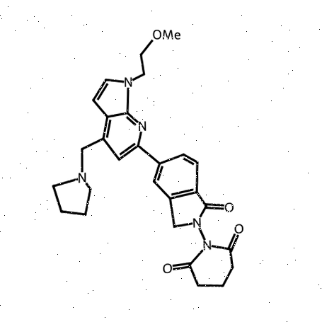 COCCn1ccc2c(CN3CCCC3)cc(-c3ccc4c(c3)CN(N3C(=O)CCCC3=O)C4=O)nc21